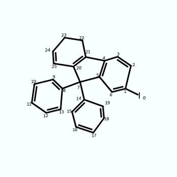 Ic1ccc2c(c1)C(c1ccccc1)(c1ccccc1)C1=C2CCC=C1